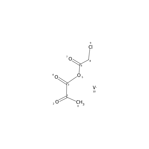 CC(=O)C(=O)OC(=O)CCl.[V]